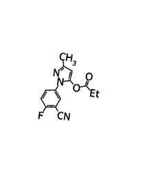 CCC(=O)Oc1cc(C)nn1-c1ccc(F)c(C#N)c1